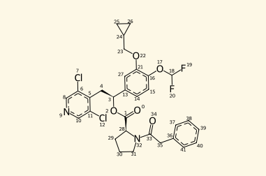 O=C(O[C@@H](Cc1c(Cl)cncc1Cl)c1ccc(OC(F)F)c(OCC2CC2)c1)[C@@H]1CCCN1C(=O)Cc1ccccc1